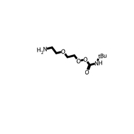 CC(C)(C)NC(=O)OOCCOCCN